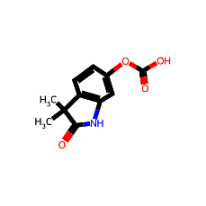 CC1(C)C(=O)Nc2cc(OC(=O)O)ccc21